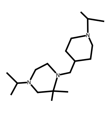 CC(C)N1CCC(CN2CCN(C(C)C)CC2(C)C)CC1